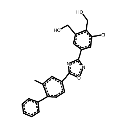 Cc1cc(-c2nc(-c3cc(Cl)c(CO)c(CO)c3)no2)ccc1-c1ccccc1